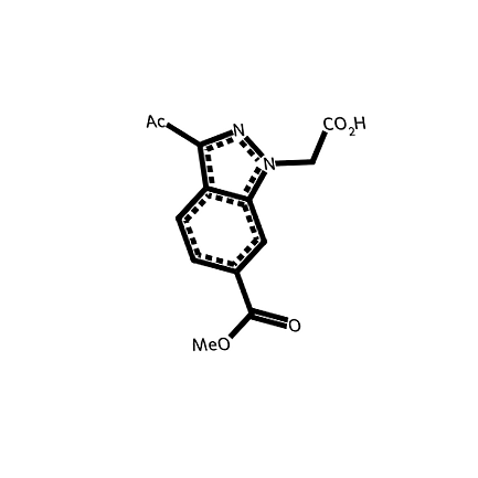 COC(=O)c1ccc2c(C(C)=O)nn(CC(=O)O)c2c1